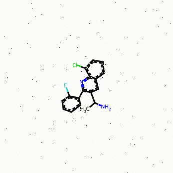 CC(N)c1cc2cccc(Cl)c2nc1-c1ccccc1F